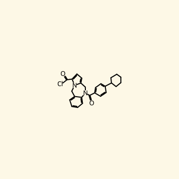 O=C(Cl)c1ccc2n1Cc1ccccc1N(C(=O)c1ccc(C3CCCCC3)cc1)C2